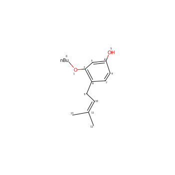 CCCCOc1cc(O)ccc1CC=C(C)C